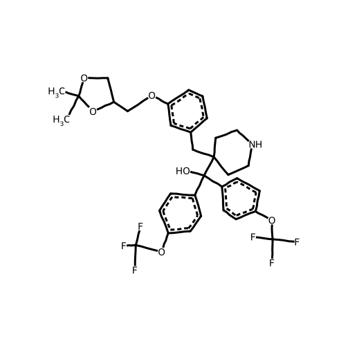 CC1(C)OCC(COc2cccc(CC3(C(O)(c4ccc(OC(F)(F)F)cc4)c4ccc(OC(F)(F)F)cc4)CCNCC3)c2)O1